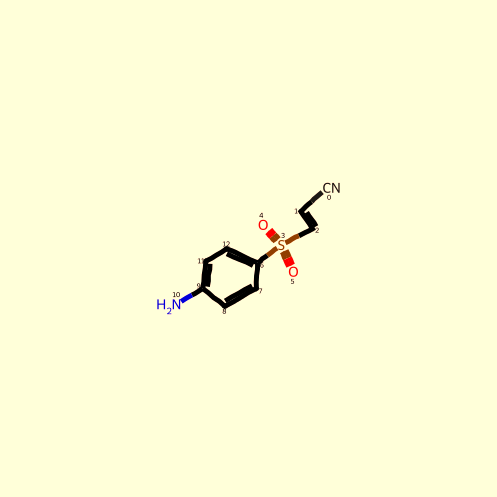 N#CC=CS(=O)(=O)c1ccc(N)cc1